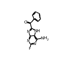 Nc1nc(F)nc2nc(C(=O)c3ccccc3)[nH]c12